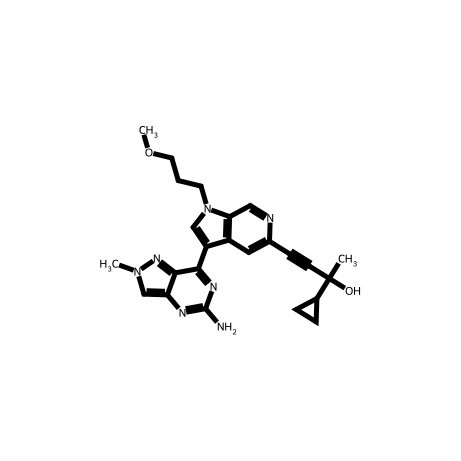 COCCCn1cc(-c2nc(N)nc3cn(C)nc23)c2cc(C#CC(C)(O)C3CC3)ncc21